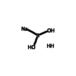 O[B](O)[Na].[HH]